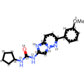 COc1cccc(-c2ccc3nc(NC(=O)NC4CCCC4)cn3n2)c1